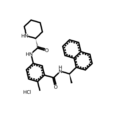 Cc1ccc(NC(=O)[C@H]2CCCCN2)cc1C(=O)N[C@H](C)c1cccc2ccccc12.Cl